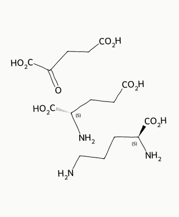 NCCC[C@H](N)C(=O)O.N[C@@H](CCC(=O)O)C(=O)O.O=C(O)CCC(=O)C(=O)O